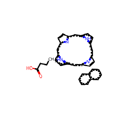 C1=Cc2cc3ccc(cc4nc(cc5ccc(cc1n2)[nH]5)C=C4)[nH]3.CCCC(=O)O.c1ccc2ccccc2c1